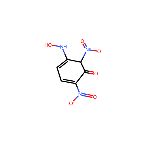 O=C1C([N+](=O)[O-])=CC=C(NO)C1[N+](=O)[O-]